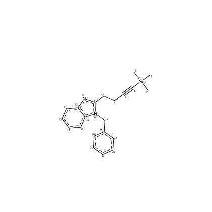 C[Si](C)(C)C#CCCc1nc2ccccc2n1Cc1ccccc1